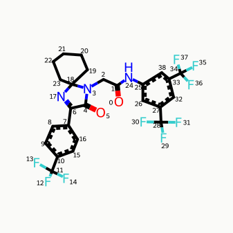 O=C(CN1C(=O)C(c2ccc(C(F)(F)F)cc2)=NC12CCCCC2)Nc1cc(C(F)(F)F)cc(C(F)(F)F)c1